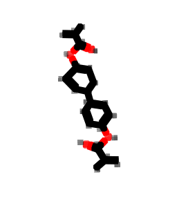 C=C(C)C(=O)OC1=CCC(c2ccc(OC(=O)C(=C)C)cc2)C=C1